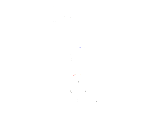 COc1ccc(S(=O)(=O)N2CCCN(S(=O)(=O)c3ccc(OC)c(OC)c3)CC2)cc1OC